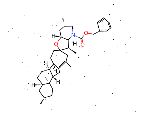 CC1=C2C[C@H]3[C@@H](CC[C@@H]4C[C@H](C)CC[C@@]43C)[C@@H]2CC[C@@]2(C1)O[C@@H]1C[C@H](C)CN(C(=O)OCc3ccccc3)[C@H]1[C@H]2C